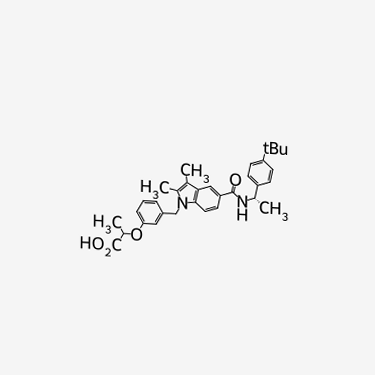 Cc1c(C)n(Cc2cccc(OC(C)C(=O)O)c2)c2ccc(C(=O)N[C@@H](C)c3ccc(C(C)(C)C)cc3)cc12